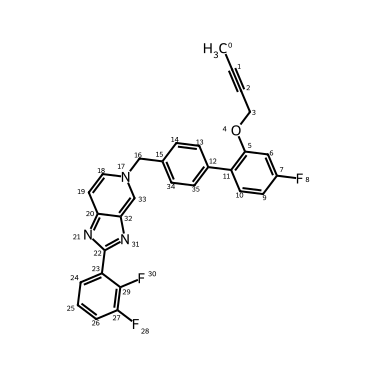 CC#CCOc1cc(F)ccc1-c1ccc(Cn2ccc3nc(-c4cccc(F)c4F)nc-3c2)cc1